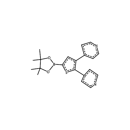 CC1(C)OB(c2cc(-c3ccncc3)c(-c3ccncc3)s2)OC1(C)C